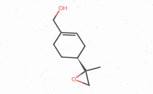 CC1([C@@H]2CC=C(CO)CC2)CO1